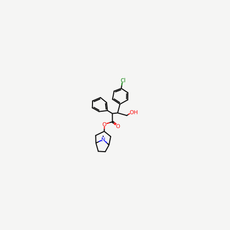 CN1C2CCC1CC(OC(=O)C(c1ccccc1)C(CO)c1ccc(Cl)cc1)C2